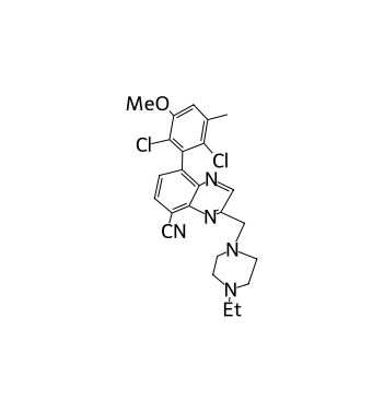 CCN1CCN(Cc2cnc3c(-c4c(Cl)c(C)cc(OC)c4Cl)ccc(C#N)c3n2)CC1